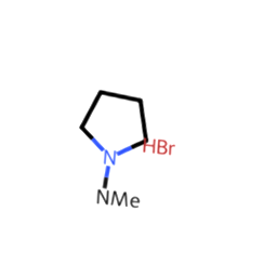 Br.CNN1CCCC1